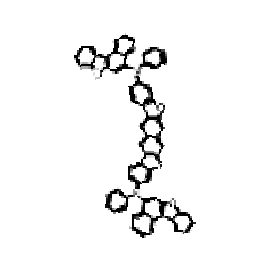 c1ccc(N(c2ccc3c(c2)oc2cc4cc5sc6cc(N(c7ccccc7)c7cc8oc9ccccc9c8c8ccccc78)ccc6c5cc4cc23)c2cc3oc4ccccc4c3c3ccccc23)cc1